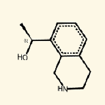 C[C@H](O)c1cccc2c1CNCC2